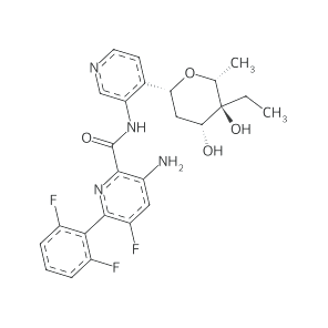 CC[C@]1(O)[C@H](O)C[C@H](c2ccncc2NC(=O)c2nc(-c3c(F)cccc3F)c(F)cc2N)O[C@@H]1C